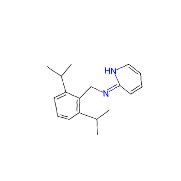 CC(C)c1cccc(C(C)C)c1CN=c1cccc[nH]1